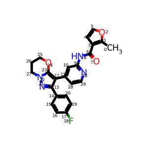 Cc1occc1C(=O)Nc1cc(-c2c(-c3ccc(F)cc3)nn3c2OCCC3)ccn1